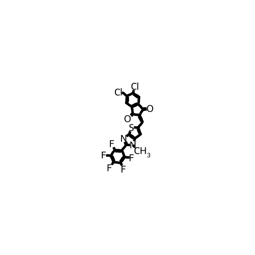 Cn1c(-c2c(F)c(F)c(F)c(F)c2F)nc2sc(C=C3C(=O)c4cc(Cl)c(Cl)cc4C3=O)cc21